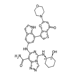 NC(=O)c1c(Nc2cc(-c3csc4c(=O)cc(N5CCOCC5)oc34)c3[nH]ccc3c2)nc(N[C@@H]2CCCC[C@@H]2O)n2cnnc12